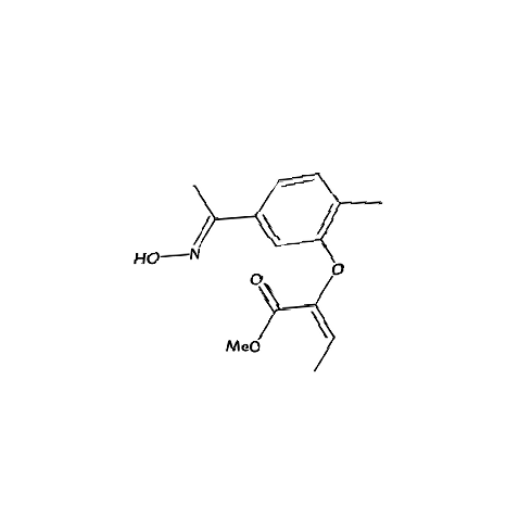 CC=C(Oc1cc(C(C)=NO)ccc1C)C(=O)OC